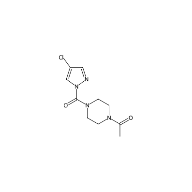 CC(=O)N1CCN(C(=O)n2cc(Cl)cn2)CC1